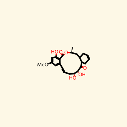 COc1cc(O)c2c(c1)/C=C/C[C@H](O)[C@H](O)C(=O)C1CC=CCC1C[C@H](C)OC2=O